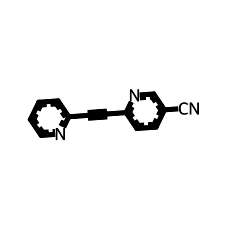 N#Cc1ccc(C#Cc2ccccn2)nc1